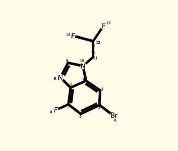 Fc1cc(Br)cc2c1ncn2CC(F)F